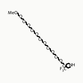 COCCOCCOCCOCCOCCOCCOCCOCCOCCOCCOCCOCCOC1(C(F)(F)F)CCNCC1